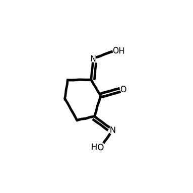 O=C1C(=NO)CCCC1=NO